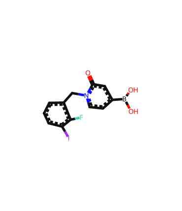 O=c1cc(B(O)O)ccn1Cc1cccc(I)c1F